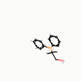 CC(C)(CO)P(c1ccccc1)c1ccccc1